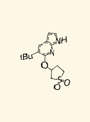 CC(C)(C)c1cc2cc[nH]c2nc1OC1CCS(=O)(=O)C1